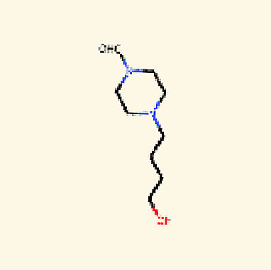 O=CN1CCN(CCCCO)CC1